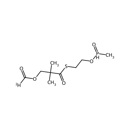 [2H]C(=O)OCC(C)(C)C(=O)SCCO[PH](C)=O